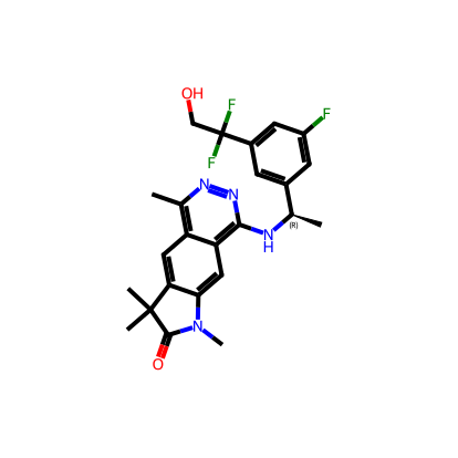 Cc1nnc(N[C@H](C)c2cc(F)cc(C(F)(F)CO)c2)c2cc3c(cc12)C(C)(C)C(=O)N3C